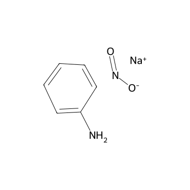 Nc1ccccc1.O=N[O-].[Na+]